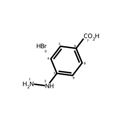 Br.NNc1ccc(C(=O)O)cc1